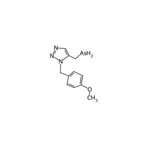 COc1ccc(Cn2nncc2C[AsH2])cc1